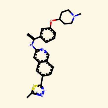 C=C(Nc1cc2cc(-c3nnc(C)s3)ccc2cn1)c1cccc(OC2CCN(C)CC2)c1